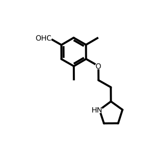 Cc1cc(C=O)cc(C)c1OCCC1CCCN1